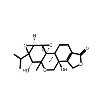 CC(C)C12O[C@H]1[C@@H]1O[C@]13C(C)(OC[C@@]1(O)C4=C(CC[C@@]13C)C(=O)OC4)[C@@H]2O